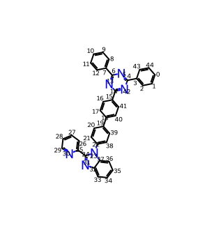 c1ccc(-c2nc(-c3ccccc3)nc(-c3ccc(-c4ccc(-n5c(-c6ccccn6)nc6ccccc65)cc4)cc3)n2)cc1